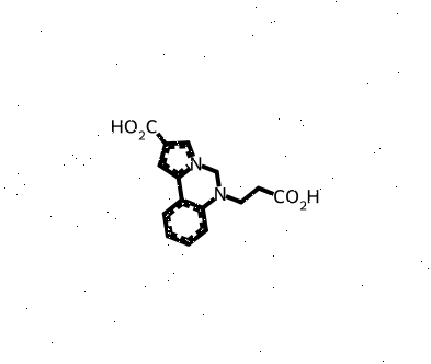 O=C(O)CCN1Cn2cc(C(=O)O)cc2-c2ccccc21